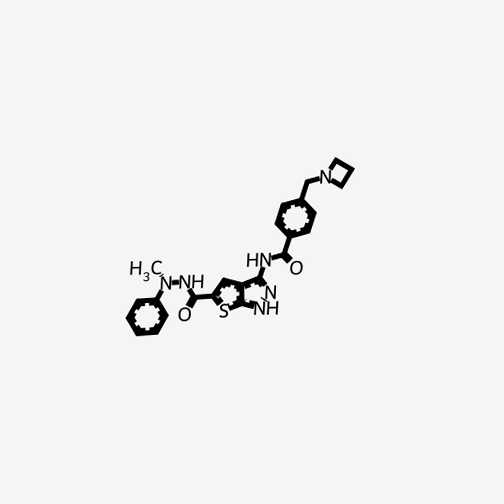 CN(NC(=O)c1cc2c(NC(=O)c3ccc(CN4CCC4)cc3)n[nH]c2s1)c1ccccc1